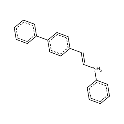 C(=C\c1ccc(-c2ccccc2)cc1)/[SiH2]c1ccccc1